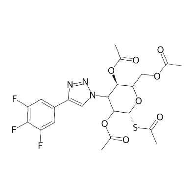 CC(=O)OCC1O[C@H](SC(C)=O)C(OC(C)=O)C(n2cc(-c3cc(F)c(F)c(F)c3)nn2)[C@H]1OC(C)=O